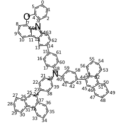 c1ccc2c(c1)Oc1cccc3c4cc(-c5ccc(N(c6ccc(-c7cc8ccccc8c8ccccc78)cc6)c6ccc(-c7cc8ccccc8c8ccccc78)cc6)cc5)ccc4n-2c13